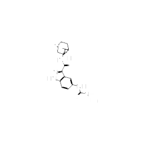 CC(C)(C)NC(=S)Nc1ccc2[nH]nc(C(=O)N[C@H]3CN4CCC3CC4)c2c1